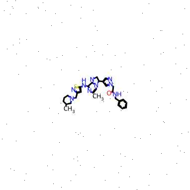 CC1=CN2C(=NCC2c2cnn(CC(=O)NCc3ccccc3)c2)C(Nc2cc(CN3CCCC(C)C3)ns2)=N1